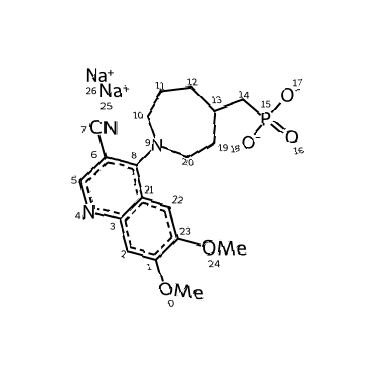 COc1cc2ncc(C#N)c(N3CCCC(CP(=O)([O-])[O-])CC3)c2cc1OC.[Na+].[Na+]